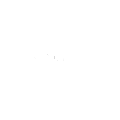 CCCCCCCCCCCCCCCC(=O)CC(C)(C)C(=O)OC(N)CCCN